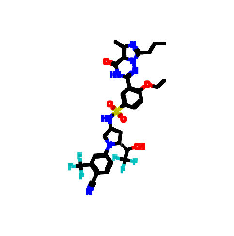 CCCc1nc(C)c2c(=O)[nH]c(-c3cc(S(=O)(=O)N[C@H]4C[C@H](C(O)C(F)(F)F)N(c5ccc(C#N)c(C(F)(F)F)c5)C4)ccc3OCC)nn12